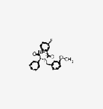 COc1cccc(CN(C(=O)c2cccc(F)c2)[C@@H](C(N)=O)c2ccccc2)c1